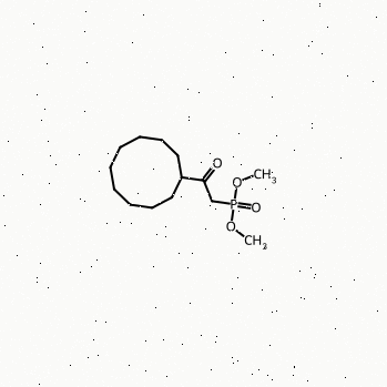 COP(=O)(CC(=O)C1CCCCCCCCC1)OC